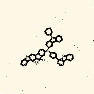 CC1(C)c2cc(N(c3ccc(-c4cccc5c4sc4ccccc45)cc3)c3ccc4c(c3)c3ccccc3n4-c3ccccc3)ccc2-c2cc3sc4ccccc4c3cc21